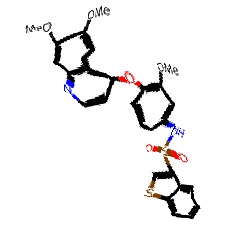 COc1cc2nccc(Oc3ccc(NS(=O)(=O)c4csc5ccccc45)cc3OC)c2cc1OC